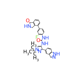 CC(C)(C)n1cc(NC(=O)Nc2ccc(-c3cccc4c3CNC4=O)cc2F)c(-c2ccc3[nH]ncc3c2)n1